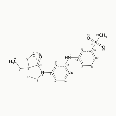 CCC1(CC)CCN(c2ccnc(Nc3cccc(S(C)(=O)=O)c3)n2)C1=O